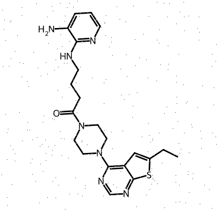 CCc1cc2c(N3CCN(C(=O)CCCNc4ncccc4N)CC3)ncnc2s1